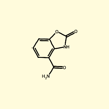 NC(=O)c1c[c]cc2oc(=O)[nH]c12